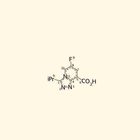 CC(C)c1nnc2c(C(=O)O)cc(F)cn12